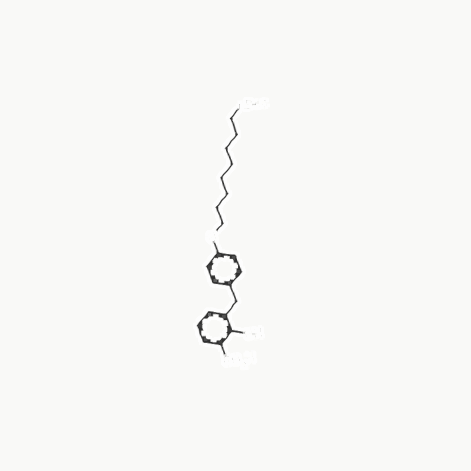 CCCCCCCCCCCCCCCCCCOc1ccc(Cc2cccc(C(=O)O)c2O)cc1